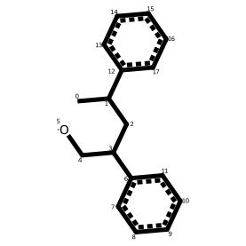 CC(CC(C[O])c1ccccc1)c1ccccc1